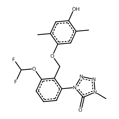 Cc1cc(OCc2c(OC(F)F)cccc2-n2nnn(C)c2=O)c(C)cc1O